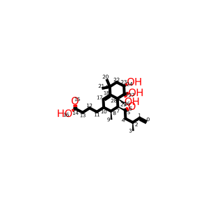 C=C[C@@H](C)CC(=O)[C@H]1[C@@H](C)C(CCCC(=O)O)C=C2C(C)(C)CC(O)C(O)(O)[C@@]21C